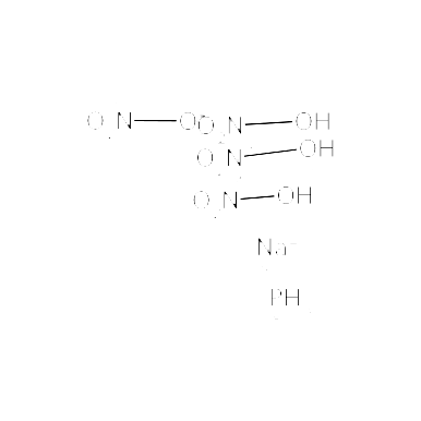 O=[N+]([O-])O.O=[N+]([O-])O.O=[N+]([O-])O.O=[N+]([O-])[O-].P.[Na+]